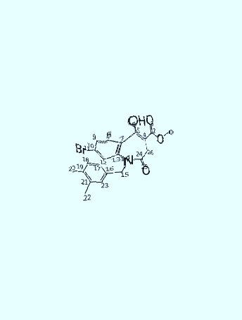 COC(=O)C1=C(O)c2ccc(Br)cc2N(Cc2ccc(C)c(C)c2)C(=O)C1